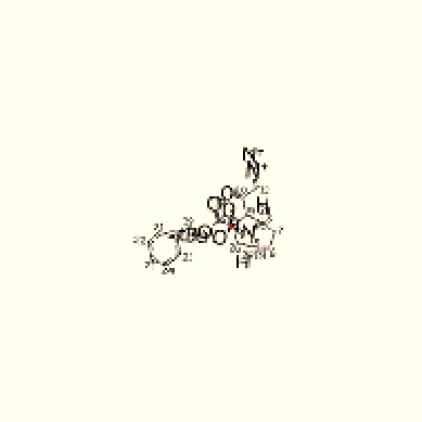 CC(C)(C)OC(=O)N1[C@H]2CC[C@@H]1C(C(=O)C=[N+]=[N-])N(C(=O)OCc1ccccc1)C2